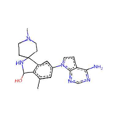 Cc1cc(-n2ccc3c(N)ncnc32)cc2c1C(O)NC21CCN(C)CC1